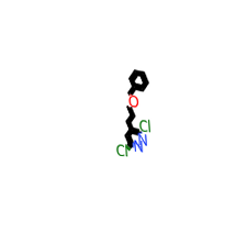 Clc1cc(CCCOCc2ccccc2)c(Cl)nn1